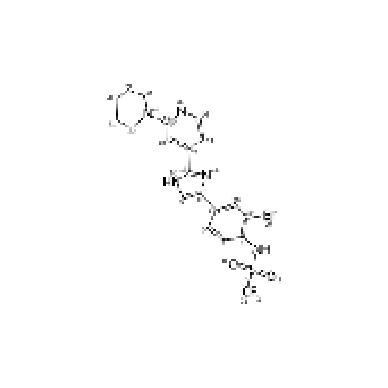 O=S(=O)(Nc1ccc(-c2c[nH]c(-c3ccnc(N4CCCCC4)c3)n2)cc1Br)C(F)(F)F